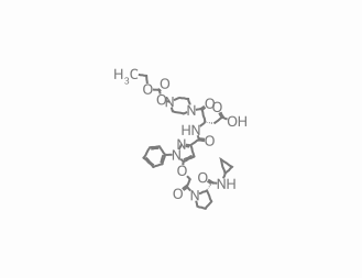 CCOC(=O)ON1CCN(C(=O)[C@H](CC(=O)O)NC(=O)c2cc(OCC(=O)N3CCC[C@H]3C(=O)NC3CC3)n(-c3ccccc3)n2)CC1